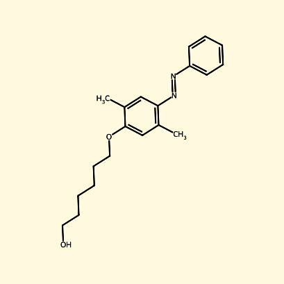 Cc1cc(OCCCCCCO)c(C)cc1/N=N/c1ccccc1